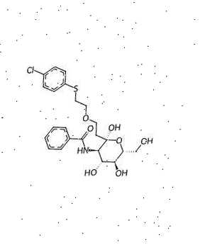 O=C(N[C@@H]1[C@@H](O)[C@H](O)[C@@H](CO)O[C@]1(O)CCOCCSc1ccc(Cl)cc1)c1ccccc1